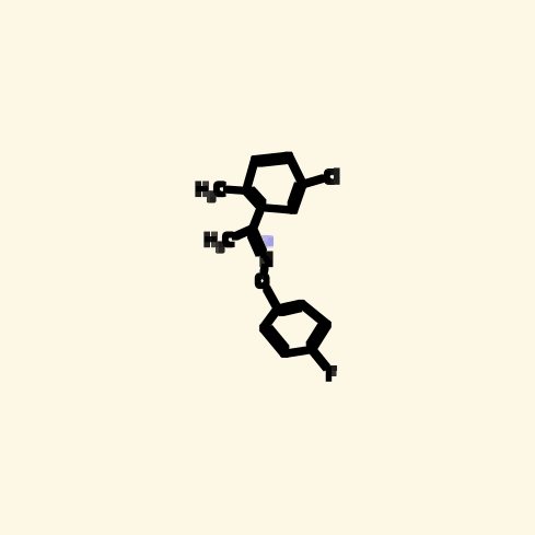 C/C(=N\Oc1ccc(F)cc1)c1cc(Cl)ccc1C